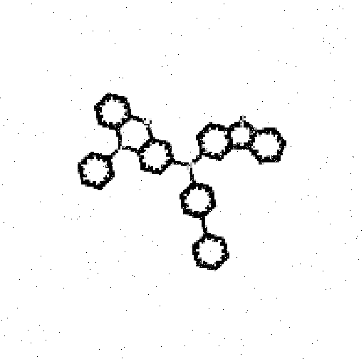 c1ccc(-c2ccc(N(c3ccc4c(c3)Oc3ccccc3N4c3ccccc3)c3ccc4sc5ccccc5c4c3)cc2)cc1